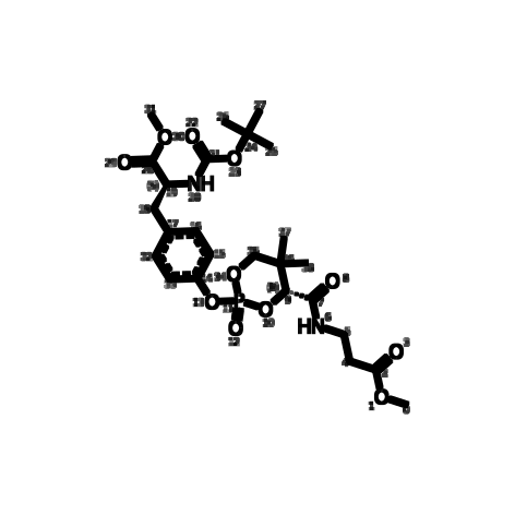 COC(=O)CCNC(=O)[C@@H]1OP(=O)(Oc2ccc(C[C@H](NC(=O)OC(C)(C)C)C(=O)OC)cc2)OCC1(C)C